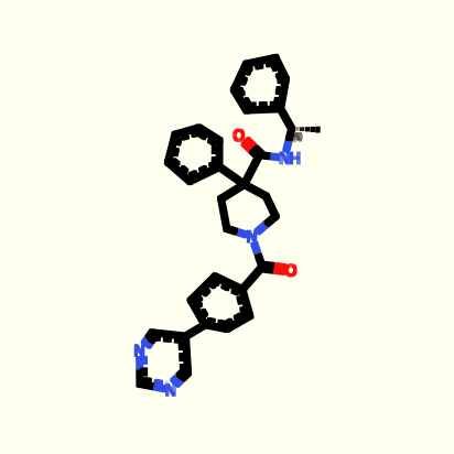 C[C@H](NC(=O)C1(c2ccccc2)CCN(C(=O)c2ccc(-c3cncnc3)cc2)CC1)c1ccccc1